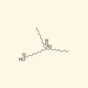 CCCCCCCCCCC(CCCCCCCCCC)(CCCCCCCCCC(=O)O)C(=O)O